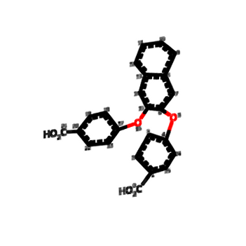 O=C(O)c1ccc(Oc2cc3ccccc3cc2Oc2ccc(C(=O)O)cc2)cc1